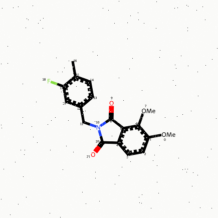 COc1ccc2c(c1OC)C(=O)N(Cc1ccc(C)c(F)c1)C2=O